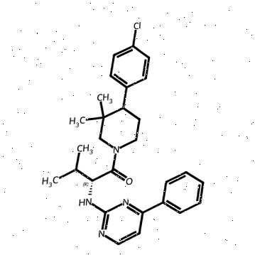 CC(C)[C@@H](Nc1nccc(-c2ccccc2)n1)C(=O)N1CCC(c2ccc(Cl)cc2)C(C)(C)C1